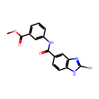 COC(=O)c1cccc(NC(=O)c2ccc3[nH]c(S)nc3c2)c1